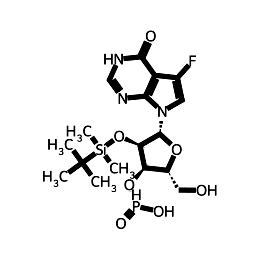 CC(C)(C)[Si](C)(C)O[C@@H]1[C@H](O[PH](=O)O)[C@@H](CO)O[C@H]1n1cc(F)c2c(=O)[nH]cnc21